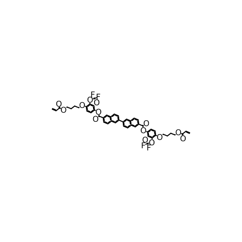 C=CC(=O)OCCCCOc1ccc(OC(=O)c2ccc3cc(-c4ccc5cc(C(=O)Oc6ccc(OCCCCOC(=O)C=C)c7c6OC(F)(F)O7)ccc5c4)ccc3c2)c2c1OC(F)(F)O2